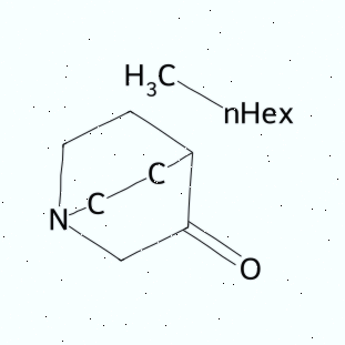 CCCCCCC.O=C1CN2CCC1CC2